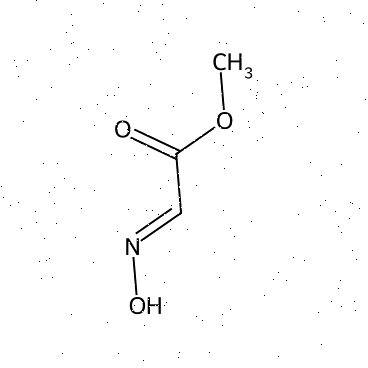 COC(=O)/C=N/O